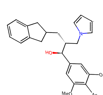 COc1cc([C@@H](O)[C@H](CC2Cc3ccccc3C2)Cn2c[c]cc2)cc(OC)c1C(C)=O